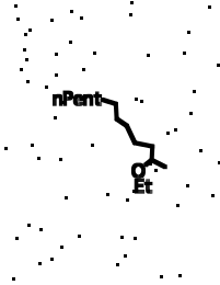 CCCCCCCCCCC(C)OCC